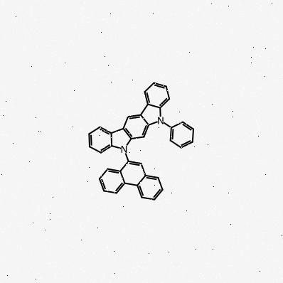 c1ccc(-n2c3ccccc3c3cc4c5ccccc5n(-c5cc6ccccc6c6ccccc56)c4cc32)cc1